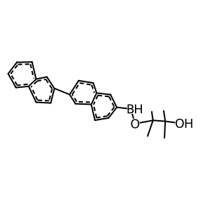 CC(C)(O)C(C)(C)OBc1ccc2cc(-c3ccc4ccccc4c3)ccc2c1